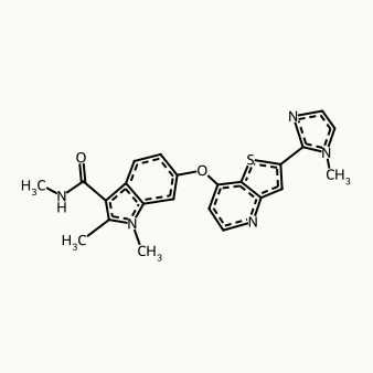 CNC(=O)c1c(C)n(C)c2cc(Oc3ccnc4cc(-c5nccn5C)sc34)ccc12